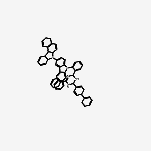 C1=CCCC(C2=NC(c3ccccc3-n3c4ccc(N5C6C=CC=CC6C6C7=C(C=CC65)CCC=C7)cc4c4cc5ccccc5cc43)NC(C3=CCC(C4=CC=CCC4)C=C3)N2)=C1